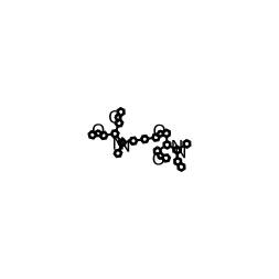 c1ccc(-c2nc(-c3ccc(-c4ccc(-c5ccc6c(c5)oc5cccc(-c7cc(-c8cc(-c9ccc%10ccccc%10c9)nc(-c9ccccc9)n8)cc(-c8cccc9oc%10ccccc%10c89)c7)c56)cc4)cc3)cc(-c3cc(-c4ccc5c(c4)oc4ccccc45)cc(-c4ccc5c(c4)oc4ccccc45)c3)n2)cc1